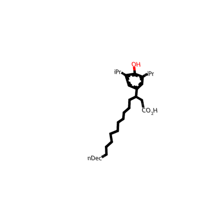 CCCCCCCCCCCCCCCCCCCCC(CC(=O)O)c1cc(C(C)C)c(O)c(C(C)C)c1